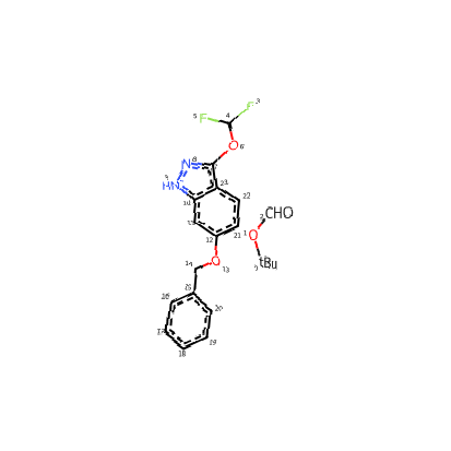 CC(C)(C)OC=O.FC(F)Oc1n[nH]c2cc(OCc3ccccc3)ccc12